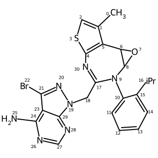 Cc1csc2c1C1OC1N(c1ccccc1C(C)C)C(Cn1nc(Br)c3c(N)ncnc31)=N2